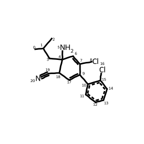 CC(C)CC1(N)C=C(Cl)C(c2ccccc2Cl)=CC1C#N